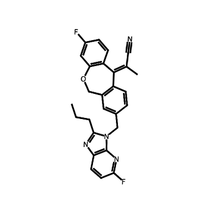 CCCc1nc2ccc(F)nc2n1Cc1ccc2c(c1)COc1cc(F)ccc1C2=C(C)C#N